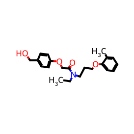 CCN(CCCOc1ccccc1C)C(=O)COc1ccc(CO)cc1